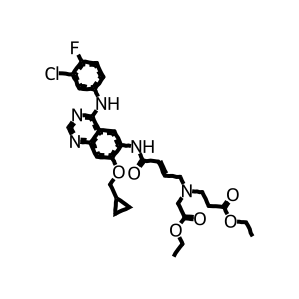 CCOC(=O)CCN(CC=CC(=O)Nc1cc2c(Nc3ccc(F)c(Cl)c3)ncnc2cc1OCC1CC1)CC(=O)OCC